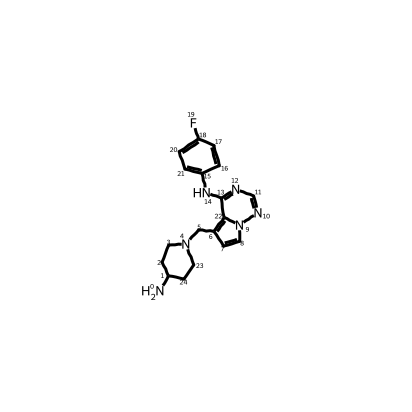 NC1CCN(Cc2ccn3ncnc(Nc4ccc(F)cc4)c23)CC1